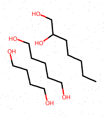 CCCCCC(O)CO.OCCCCCO.OCCCCO